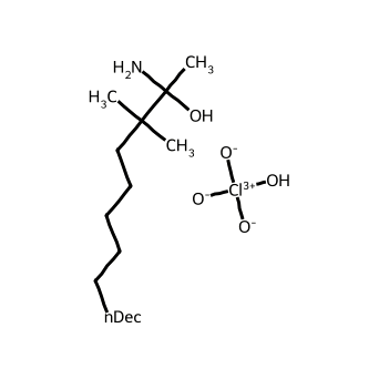 CCCCCCCCCCCCCCCC(C)(C)C(C)(N)O.[O-][Cl+3]([O-])([O-])O